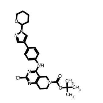 CC(C)(C)OC(=O)N1CCc2nc(Cl)nc(Nc3ccc(-c4cnn(C5CCCCO5)c4)cc3)c2C1